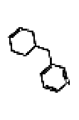 C1=CCC(Cc2cccnc2)CC1